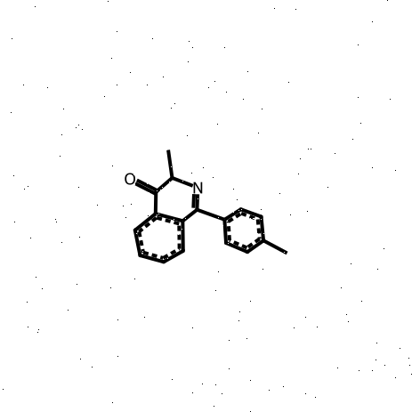 Cc1ccc(C2=NC(C)C(=O)c3ccccc32)cc1